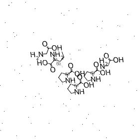 CC[C@H](C)[C@H](N)C(=O)O.NCC(=O)O.NCC(=O)O.O=C(O)[C@@H]1CCCN1.O=C(O)[C@@H]1CCCN1.O=C(O)[C@@H]1CCCN1